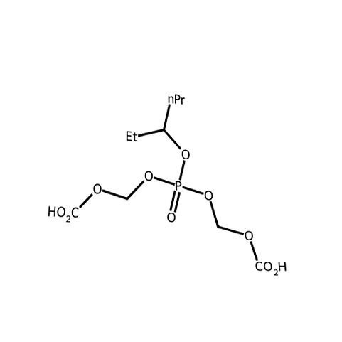 CCCC(CC)OP(=O)(OCOC(=O)O)OCOC(=O)O